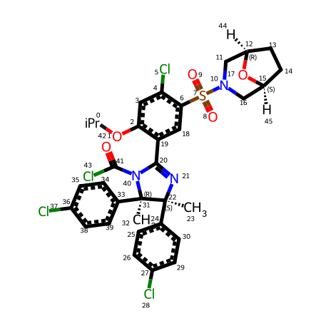 CC(C)Oc1cc(Cl)c(S(=O)(=O)N2C[C@H]3CC[C@@H](C2)O3)cc1C1=N[C@@](C)(c2ccc(Cl)cc2)[C@@](C)(c2ccc(Cl)cc2)N1C(=O)Cl